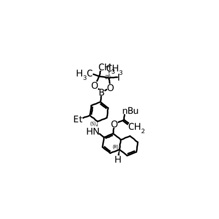 C=C(CCCC)OC1=C(N[C@H]2CC=C(B3OC(C)(C)[C@@](C)(I)O3)C=C2CC)C=C[C@H]2C=CCCC12